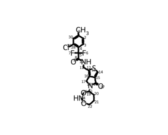 Cc1ccc(C(F)(F)C(=O)NCc2scc3c2CN([C@@H]2CCCONO2)C3=O)c(Cl)c1